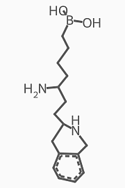 NC(CCCCB(O)O)CCC1Cc2ccccc2CN1